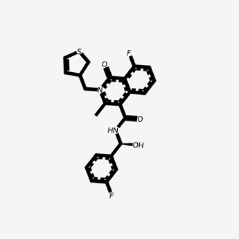 Cc1c(C(=O)N[C@@H](O)c2cccc(F)c2)c2cccc(F)c2c(=O)n1CC1C=CSC1